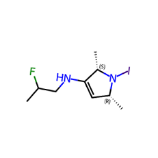 CC(F)CNC1=C[C@@H](C)N(I)[C@H]1C